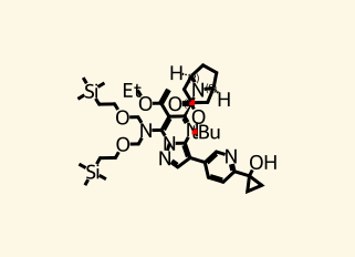 C=C(OCC)c1c([C@H]2C[C@H]3CC[C@@H](C2)N3C(=O)OC(C)(C)C)nc2c(-c3ccc(C4(O)CC4)nc3)cnn2c1N(COCC[Si](C)(C)C)COCC[Si](C)(C)C